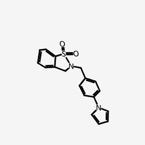 O=S1(=O)c2ccccc2CN1Cc1ccc(-n2cccc2)cc1